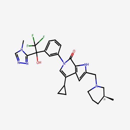 C[C@H]1CCCN(Cc2cc3c(C4CC4)cn(-c4cccc(C(O)(c5nncn5C)C(F)(F)F)c4)c(=O)c3[nH]2)C1